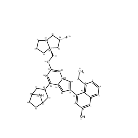 CCc1cccc2cc(O)cc(-c3cc4c(N5CC6CCC(C5)N6)nc(OC[C@@]56CCCN5C[C@H](F)C6)nn4c3)c12